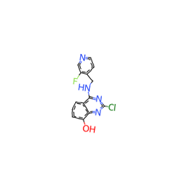 Oc1cccc2c(NCc3ccncc3F)nc(Cl)nc12